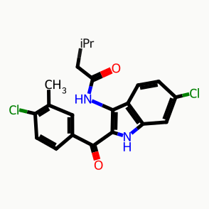 Cc1cc(C(=O)c2[nH]c3cc(Cl)ccc3c2NC(=O)CC(C)C)ccc1Cl